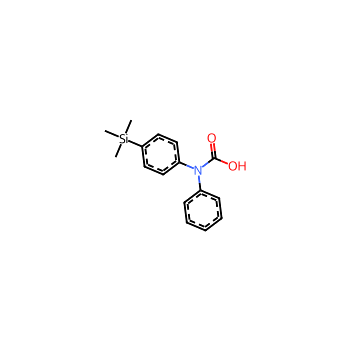 C[Si](C)(C)c1ccc(N(C(=O)O)c2ccccc2)cc1